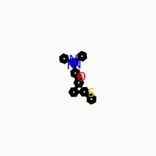 c1ccc(-c2nc(-c3ccccc3)nc(-c3ccc4c(c3)oc3ccc(-c5ccccc5-c5ccc6sc7ccccc7c6c5)cc34)n2)cc1